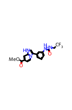 COC(=O)C1=CC2NC=C(c3cccc(NC(=O)NCC(F)(F)F)c3)N2C=C1